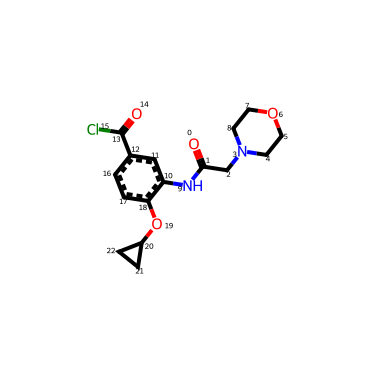 O=C(CN1CCOCC1)Nc1cc(C(=O)Cl)ccc1OC1CC1